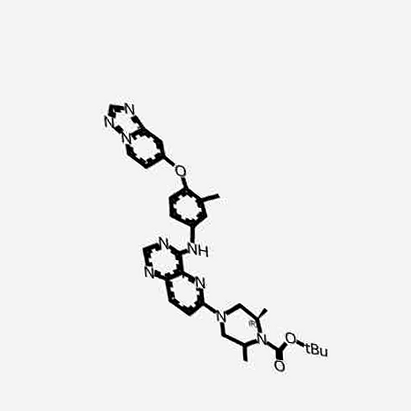 Cc1cc(Nc2ncnc3ccc(N4CC(C)N(C(=O)OC(C)(C)C)[C@H](C)C4)nc23)ccc1Oc1ccn2ncnc2c1